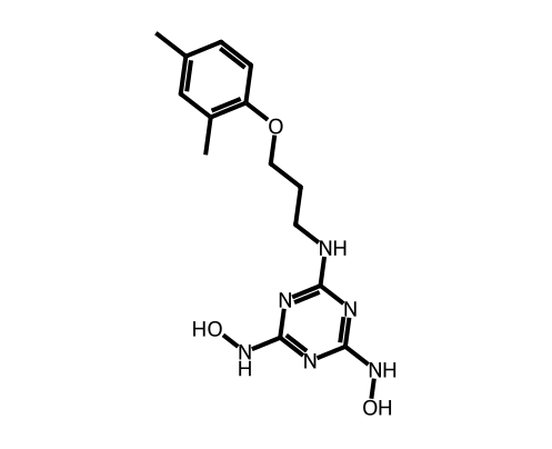 Cc1ccc(OCCCNc2nc(NO)nc(NO)n2)c(C)c1